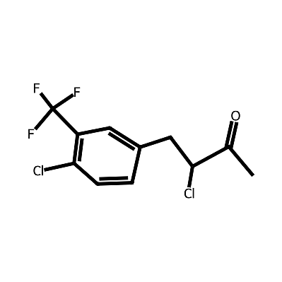 CC(=O)C(Cl)Cc1ccc(Cl)c(C(F)(F)F)c1